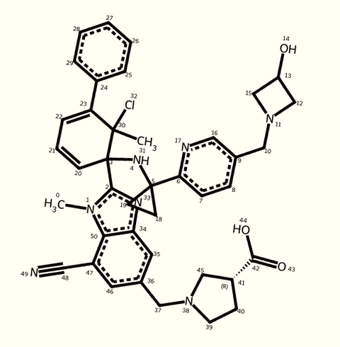 Cn1c(C2(NC3(c4ccc(CN5CC(O)C5)cn4)CC3)C=CC=C(c3ccccc3)C2(C)Cl)nc2cc(CN3CC[C@@H](C(=O)O)C3)cc(C#N)c21